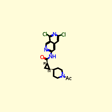 CC(=O)N1CCC([C@@H]2C[C@H]2C(=O)Nc2cc3cc(Cl)nc(Cl)c3cn2)CC1